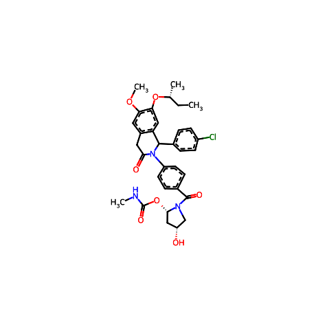 CC[C@@H](C)Oc1cc2c(cc1OC)CC(=O)N(c1ccc(C(=O)N3C[C@H](O)C[C@@H]3OC(=O)NC)cc1)C2c1ccc(Cl)cc1